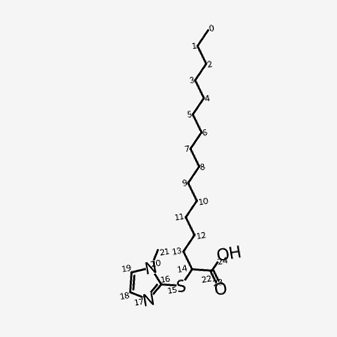 CCCCCCCCCCCCCCC(Sc1nccn1C)C(=O)O